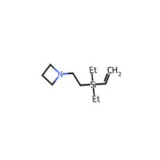 C=C[Si](CC)(CC)CCN1CCC1